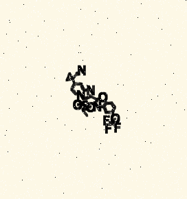 CCS(=O)(=O)c1c(-c2nc3cc(OC(F)(F)F)ccc3o2)nc2cc(C3(C#N)CC3)ccn12